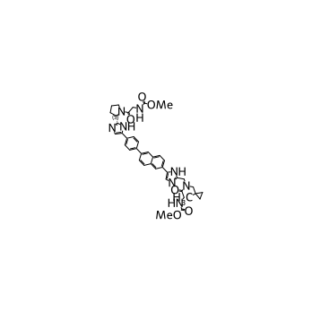 COC(=O)NCC(=O)N(Cc1ncc(-c2ccc3cc(-c4ccc(-c5cnc([C@@H]6CCCN6C(=O)CNC(=O)OC)[nH]5)cc4)ccc3c2)[nH]1)CC1(C)CC1